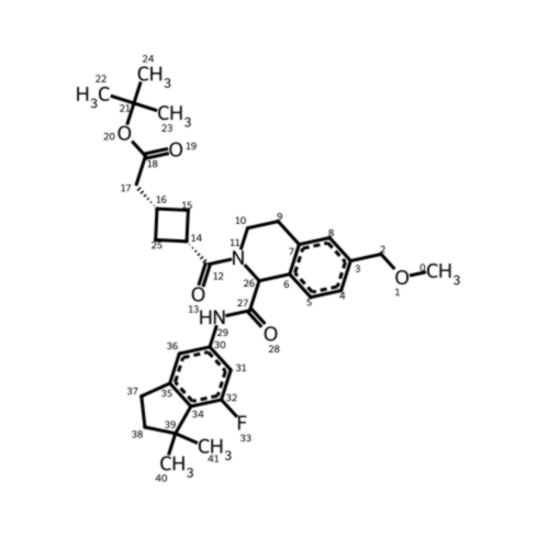 COCc1ccc2c(c1)CCN(C(=O)[C@H]1C[C@@H](CC(=O)OC(C)(C)C)C1)C2C(=O)Nc1cc(F)c2c(c1)CCC2(C)C